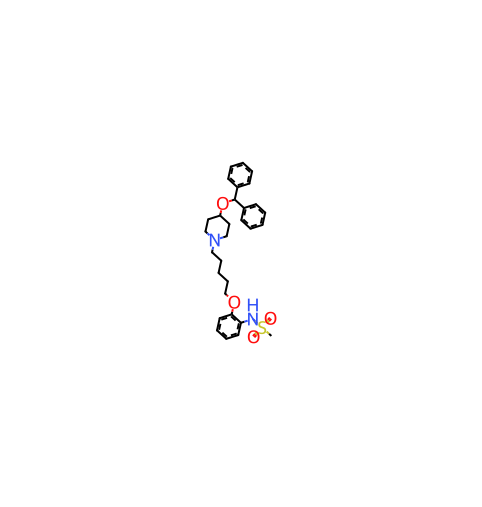 CS(=O)(=O)Nc1ccccc1OCCCCCN1CCC(OC(c2ccccc2)c2ccccc2)CC1